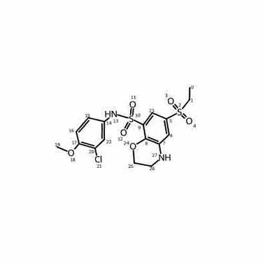 CCS(=O)(=O)c1cc2c(c(S(=O)(=O)Nc3ccc(OC)c(Cl)c3)c1)OCCN2